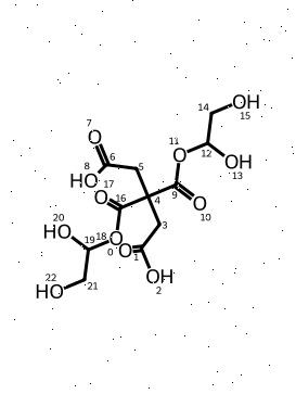 O=C(O)CC(CC(=O)O)(C(=O)OC(O)CO)C(=O)OC(O)CO